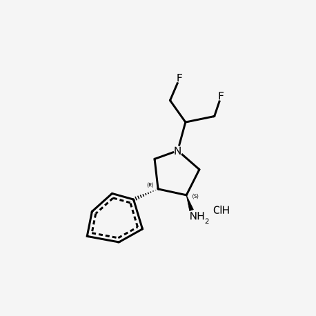 Cl.N[C@@H]1CN(C(CF)CF)C[C@H]1c1ccccc1